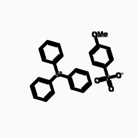 COc1ccc(S(=O)(=O)[O-])cc1.c1ccc([S+](c2ccccc2)c2ccccc2)cc1